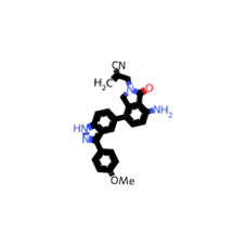 C=C(C#N)CN1Cc2c(-c3ccc4[nH]nc(-c5ccc(OC)cc5)c4c3)ccc(N)c2C1=O